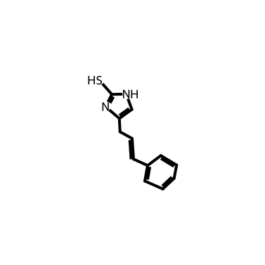 Sc1nc(CC=Cc2ccccc2)c[nH]1